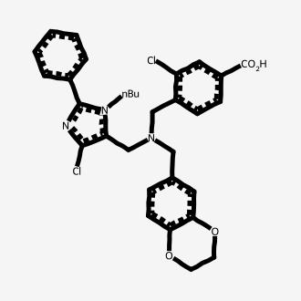 CCCCn1c(-c2ccccc2)nc(Cl)c1CN(Cc1ccc2c(c1)OCCO2)Cc1ccc(C(=O)O)cc1Cl